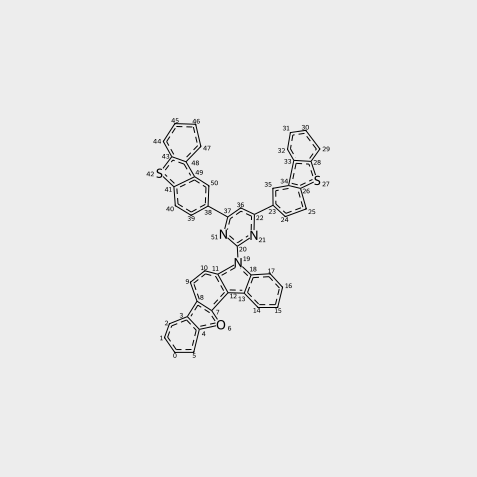 c1ccc2c(c1)oc1c2ccc2c1c1ccccc1n2-c1nc(-c2ccc3sc4ccccc4c3c2)cc(-c2ccc3sc4ccccc4c3c2)n1